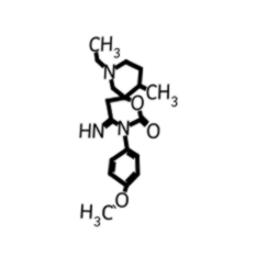 CCN1CCC(C)C2(CC(=N)N(c3ccc(OC)cc3)C(=O)O2)C1